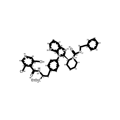 CCOC(=O)[C@H](Cc1ccc(-n2c([C@@H]3CCCCN3C(=O)OCc3ccccc3)nc3cccnc32)cc1)NC(=O)c1c(Cl)cncc1Cl